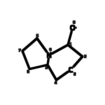 [O]C1CCCC2CCCN12